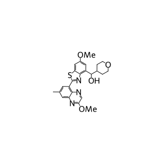 COc1cc(C(O)C2CCOCC2)c2nc(-c3cc(C)cc4nc(OC)cnc34)sc2c1